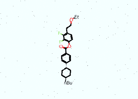 CCCC[C@H]1CC[C@H](c2ccc(C(=O)Oc3ccc(CCOCC)c(F)c3F)cc2)CC1